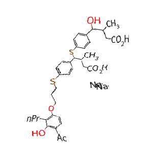 CCCc1c(OCCCSc2ccc(C(Sc3ccc(C(O)C(C)CC(=O)O)cc3)C(C)CC(=O)O)cc2)ccc(C(C)=O)c1O.[Na].[Na]